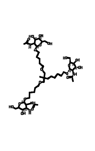 CC(=O)NC1[C@H](OCCCCCCC(C)(COCCCCCO[C@@H]2OC(CO)[C@@H](O)[C@H](O)C2NC(C)=O)COCCCCCO[C@@H]2OC(CO)[C@@H](O)[C@H](O)C2NC(C)=O)OC(CO)[C@@H](O)[C@@H]1O